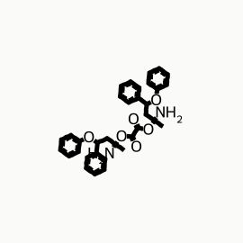 CC(N)(CC(Oc1ccccc1)c1ccccc1)OC(=O)C(=O)OC(C)(N)CC(Oc1ccccc1)c1ccccc1